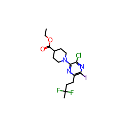 CCOC(=O)C1CCN(c2nc(CCC(C)(F)F)c(I)nc2Cl)CC1